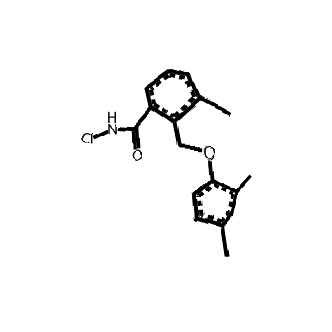 Cc1ccc(OCc2c(C)cccc2C(=O)NCl)c(C)c1